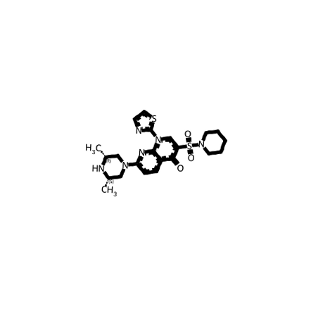 C[C@@H]1CN(c2ccc3c(=O)c(S(=O)(=O)N4CCCCC4)cn(-c4nccs4)c3n2)C[C@H](C)N1